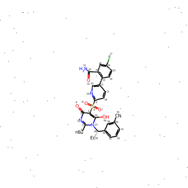 CCCCc1nc(=O)c(S(=O)(=O)c2ccc(-c3ccc(F)cc3C(N)=O)cn2)c(O)n1[C@@H](CC)c1cccc(C#N)c1